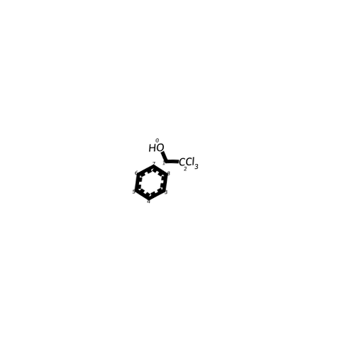 OCC(Cl)(Cl)Cl.c1ccccc1